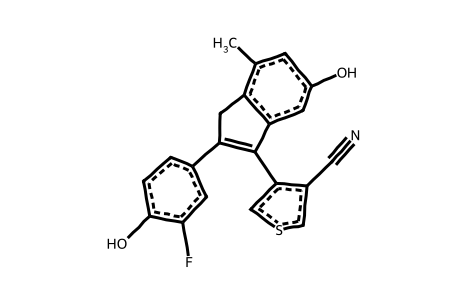 Cc1cc(O)cc2c1CC(c1ccc(O)c(F)c1)=C2c1cscc1C#N